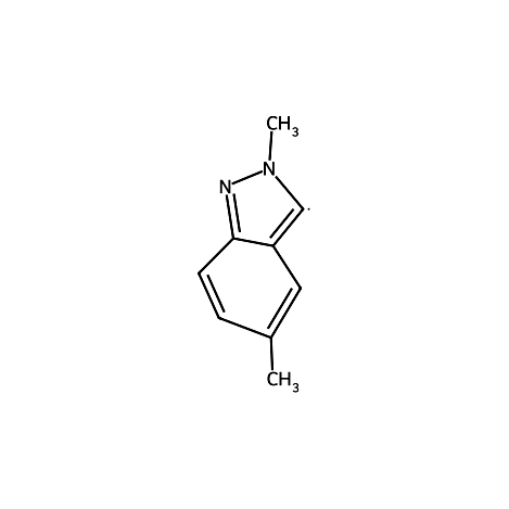 Cc1ccc2nn(C)[c]c2c1